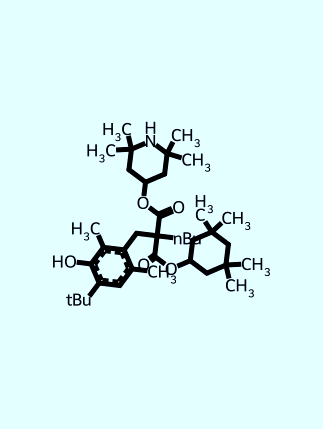 CCCCC(Cc1c(C)cc(C(C)(C)C)c(O)c1C)(C(=O)OC1CC(C)(C)CC(C)(C)C1)C(=O)OC1CC(C)(C)NC(C)(C)C1